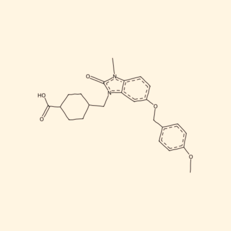 COc1ccc(COc2ccc3c(c2)n(CC2CCC(C(=O)O)CC2)c(=O)n3C)cc1